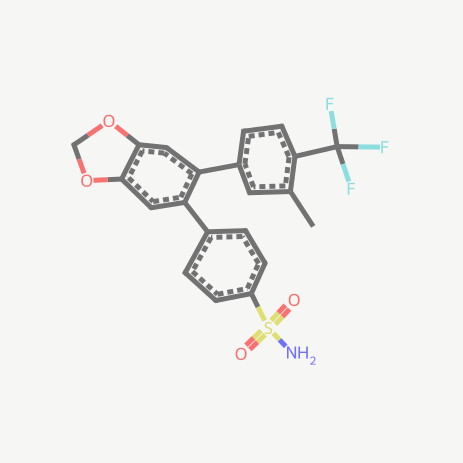 Cc1cc(-c2cc3c(cc2-c2ccc(S(N)(=O)=O)cc2)OCO3)ccc1C(F)(F)F